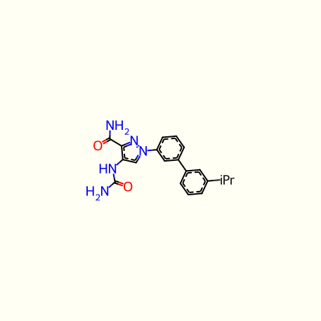 CC(C)c1cccc(-c2cccc(-n3cc(NC(N)=O)c(C(N)=O)n3)c2)c1